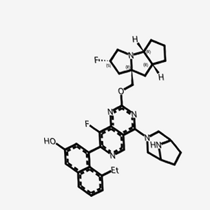 CCc1cccc2cc(O)cc(-c3ncc4c(N5CC6CCC(C5)N6)nc(OC[C@@]56C[C@H](F)CN5[C@@H]5CCC[C@@H]5C6)nc4c3F)c12